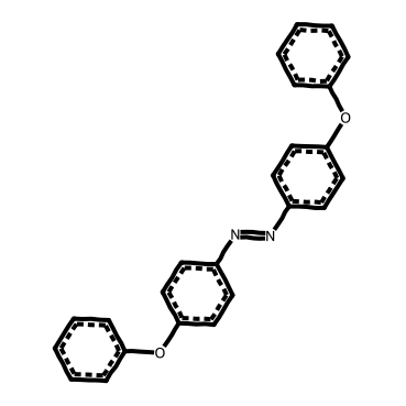 c1ccc(Oc2ccc(N=Nc3ccc(Oc4ccccc4)cc3)cc2)cc1